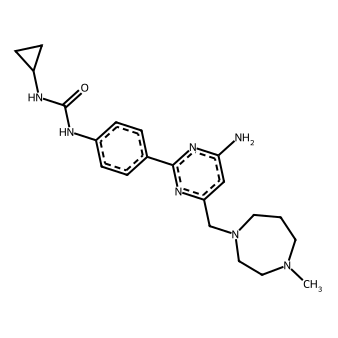 CN1CCCN(Cc2cc(N)nc(-c3ccc(NC(=O)NC4CC4)cc3)n2)CC1